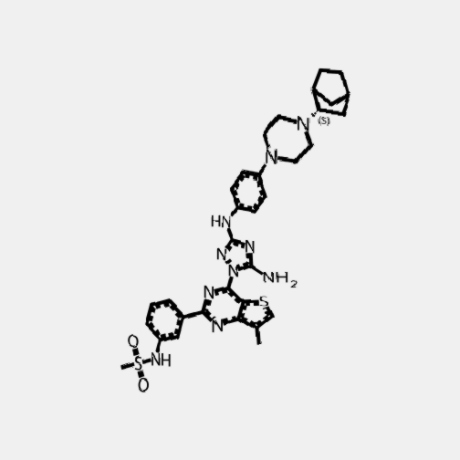 Cc1csc2c(-n3nc(Nc4ccc(N5CCN([C@H]6CC7CCC6C7)CC5)cc4)nc3N)nc(-c3cccc(NS(C)(=O)=O)c3)nc12